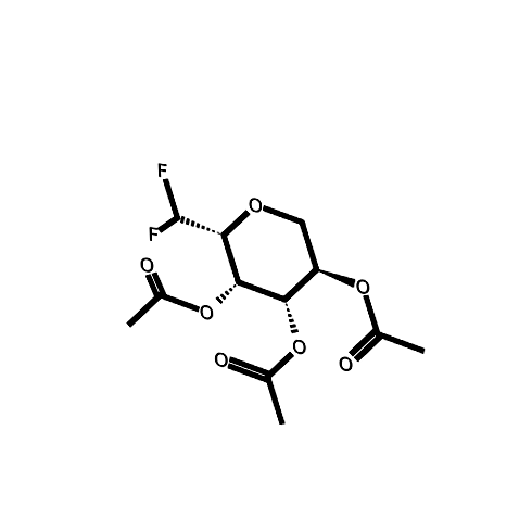 CC(=O)O[C@@H]1[C@H](OC(C)=O)[C@H](C(F)F)OC[C@H]1OC(C)=O